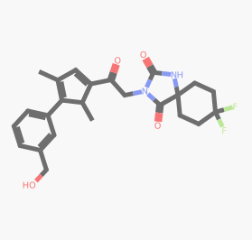 CC1=C(c2cccc(CO)c2)C(C)C(C(=O)CN2C(=O)NC3(CCC(F)(F)CC3)C2=O)=C1